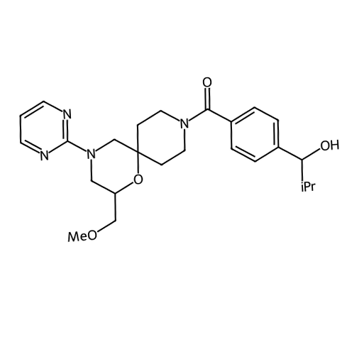 COCC1CN(c2ncccn2)CC2(CCN(C(=O)c3ccc(C(O)C(C)C)cc3)CC2)O1